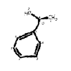 C[C@H](O)c1[c]cccc1